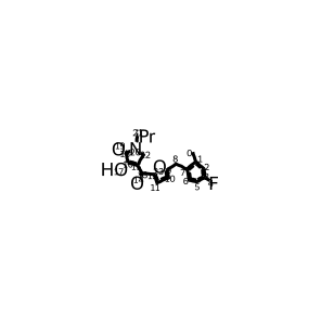 Cc1cc(F)ccc1Cc1ccc(C(=O)C2=C(O)C(=O)N(C(C)C)C2)o1